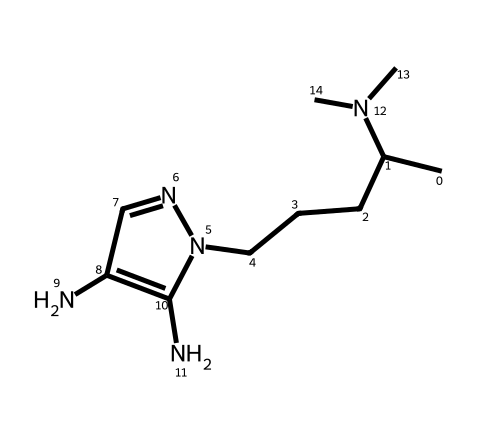 CC(CCCn1ncc(N)c1N)N(C)C